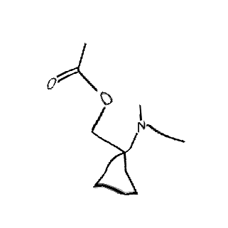 CC(=O)OCC1(N(C)C)CC1